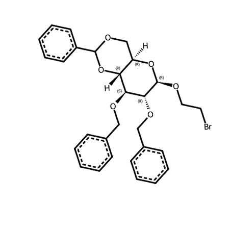 BrCCO[C@@H]1O[C@@H]2COC(c3ccccc3)O[C@H]2[C@H](OCc2ccccc2)[C@H]1OCc1ccccc1